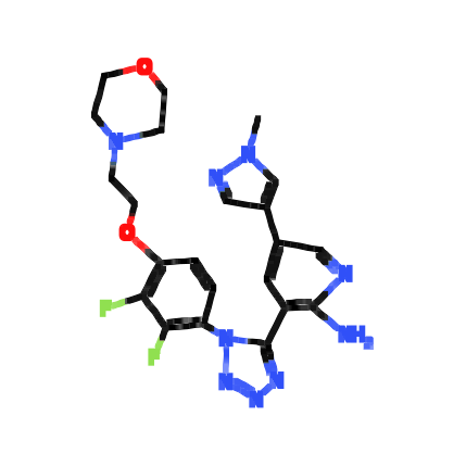 Cn1cc(-c2cnc(N)c(-c3nnnn3-c3ccc(OCCN4CCOCC4)c(F)c3F)c2)cn1